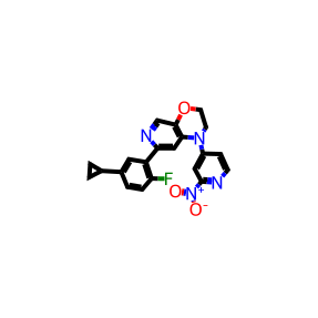 O=[N+]([O-])c1cc(N2CCOc3cnc(-c4cc(C5CC5)ccc4F)cc32)ccn1